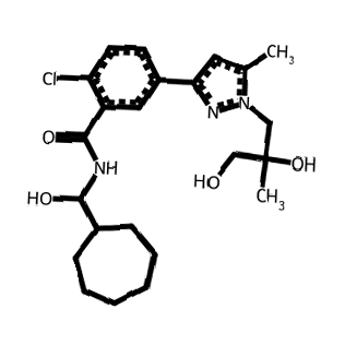 Cc1cc(-c2ccc(Cl)c(C(=O)NC(O)C3CCCCCC3)c2)nn1CC(C)(O)CO